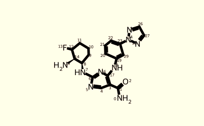 NC(=O)c1cnc(N[C@@H]2CCCC(F)[C@@H]2N)nc1Nc1cccc(-n2nccn2)c1